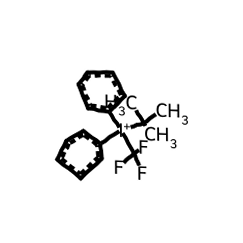 CC(C)(C)[I+](c1ccccc1)(c1ccccc1)C(F)(F)F